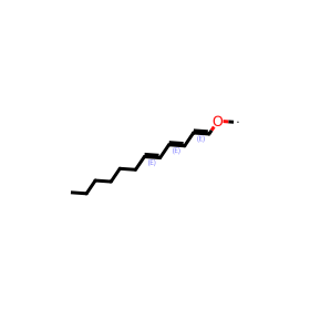 [CH2]O/C=C/C=C/C=C/CCCCCC